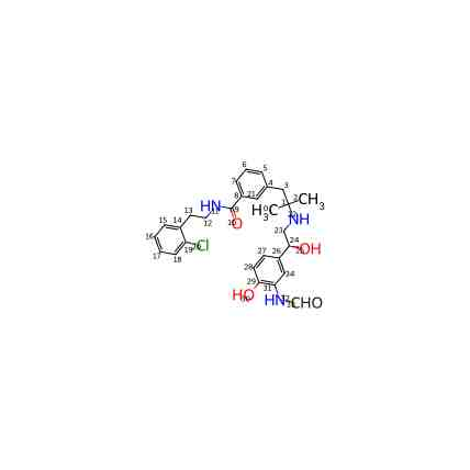 CC(C)(Cc1cccc(C(=O)NCCc2ccccc2Cl)c1)NC[C@@H](O)c1ccc(O)c(NC=O)c1